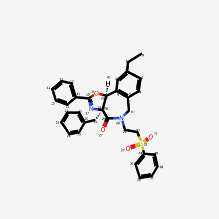 CCc1ccc2c(c1)[C@@H]1OC(c3ccccc3)=N[C@]1(Cc1ccccc1)C(=O)N(CCS(=O)(=O)c1ccccc1)C2